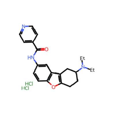 CCN(CC)C1CCc2oc3ccc(NC(=O)c4ccncc4)cc3c2C1.Cl.Cl